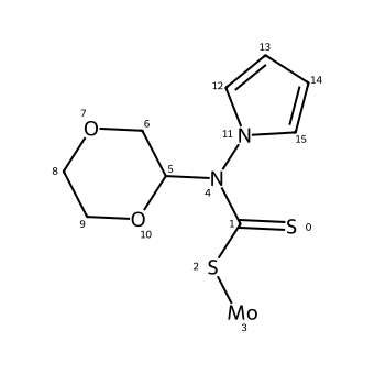 S=C([S][Mo])N(C1COCCO1)n1cccc1